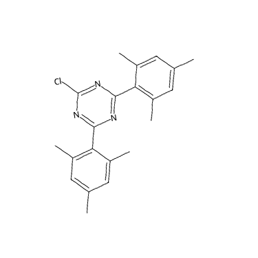 Cc1cc(C)c(-c2nc(Cl)nc(-c3c(C)cc(C)cc3C)n2)c(C)c1